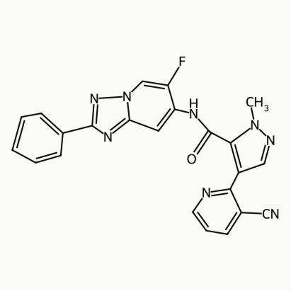 Cn1ncc(-c2ncccc2C#N)c1C(=O)Nc1cc2nc(-c3ccccc3)nn2cc1F